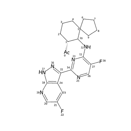 CC(=O)[C@@H]1CCCC2(CCCC2)C1Nc1nc(-c2n[nH]c3ncc(F)cc23)ncc1F